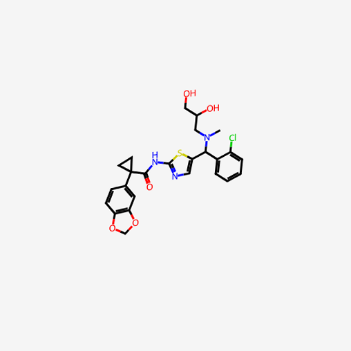 CN(CC(O)CO)C(c1cnc(NC(=O)C2(c3ccc4c(c3)OCO4)CC2)s1)c1ccccc1Cl